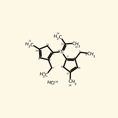 CCC1=[C]([Ti]([C]2=C(CC)C=C(C)C2)=[C](C)C)CC(C)=C1.Cl